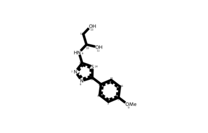 COc1ccc(-c2nnc(NC(O)CO)s2)cc1